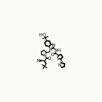 CC(C)(C)C=C(C#N)C(=O)N1CCCC1Cn1c(NC(=O)c2ccc(-n3cccn3)s2)nc2cc(C(C)(C)O)ccc21